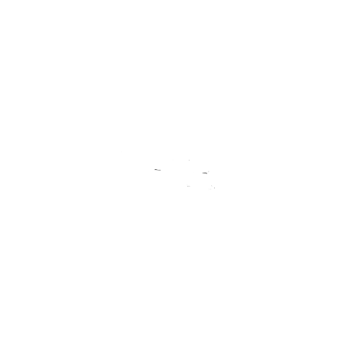 CCCC[C@H]1CC[C@@H](CN)CC1